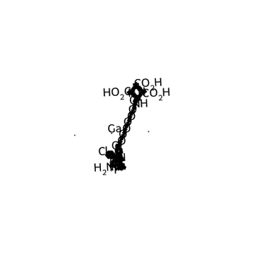 Cc1cc(F)cc(-c2cnc(N3CCN(C(=O)CCOCCOCCOCCOCCOCCOCCNC(=O)CN4CCN(CC(=O)O)CCN(CC(=O)O)CCN(CC(=O)O)CC4)CC3)c(-c3nc4cc(Cl)ccc4[nH]3)c2N2CCC(N)CC2)c1.[Ga]